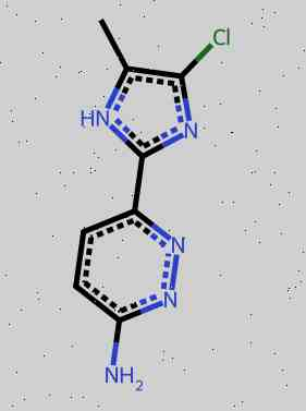 Cc1[nH]c(-c2ccc(N)nn2)nc1Cl